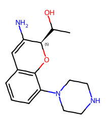 CC(O)[C@H]1Oc2c(cccc2N2CCNCC2)C=C1N